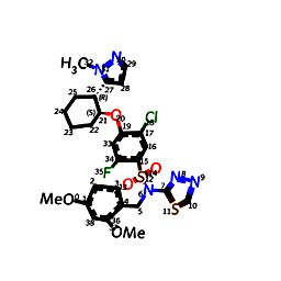 COc1ccc(CN(c2nncs2)S(=O)(=O)c2cc(Cl)c(O[C@H]3CCCC[C@@H]3c3ccnn3C)cc2F)c(OC)c1